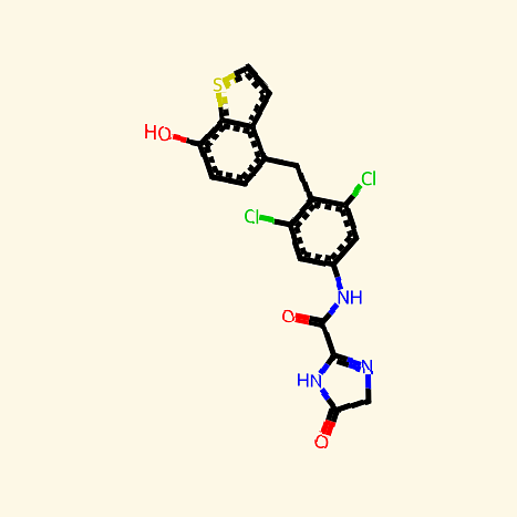 O=C1CN=C(C(=O)Nc2cc(Cl)c(Cc3ccc(O)c4sccc34)c(Cl)c2)N1